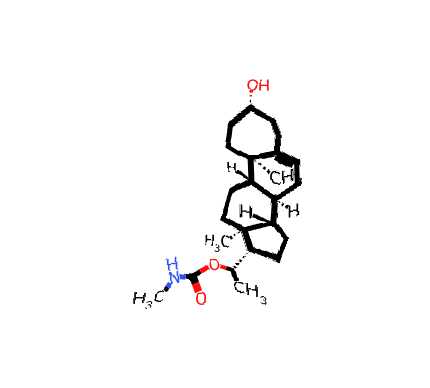 CNC(=O)OC(C)[C@H]1CC[C@H]2[C@@H]3CC=C4C[C@@H](O)CC[C@]4(C)[C@H]3CC[C@]12C